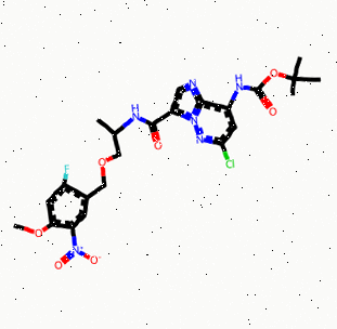 COc1cc(F)c(COCC(C)NC(=O)c2cnc3c(NC(=O)OC(C)(C)C)cc(Cl)nn23)cc1[N+](=O)[O-]